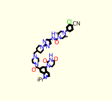 CC(C)n1ccc2c(N3CCC(=O)NC3=O)cc(C(=O)N3CCN(CC4CCN(c5ncc(NC(=O)N6C[C@H](C)N(c7ccc(C#N)c(Cl)c7)C[C@H]6C)cn5)CC4)CC3)cc21